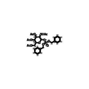 CC(=O)NC1C(OP(=O)(OCc2ccccc2)OCc2ccccc2)OC(COC(C)=O)C(OC(C)=O)C1OC(C)=O